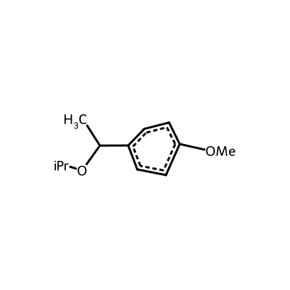 COc1ccc(C(C)OC(C)C)cc1